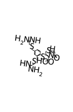 N=C(N)CSCc1ccc(SC2=C(C(=O)O)N3C(=O)C[C@@H]3SC2)c(CSCC(=N)N)c1